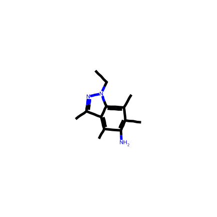 CCn1nc(C)c2c(C)c(N)c(C)c(C)c21